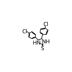 S=C1NC(c2ccc(Cl)cc2)C(c2ccc(Cl)cc2)N1